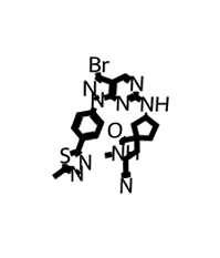 CNC(=O)C1(CCC#N)CC[C@@H](Nc2ncc3c(Br)nn(-c4ccc(-c5nnc(C)s5)cc4)c3n2)C1